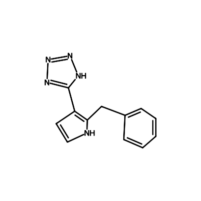 c1ccc(Cc2[nH]ccc2-c2nnn[nH]2)cc1